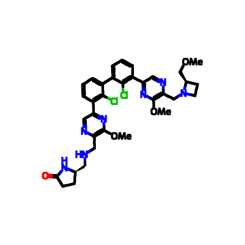 COC[C@H]1CCN1Cc1ncc(-c2cccc(-c3cccc(-c4cnc(CNC[C@@H]5CCC(=O)N5)c(OC)n4)c3Cl)c2Cl)nc1OC